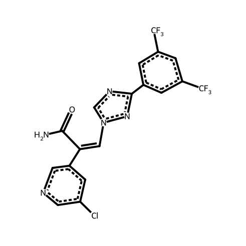 NC(=O)/C(=C\n1cnc(-c2cc(C(F)(F)F)cc(C(F)(F)F)c2)n1)c1cncc(Cl)c1